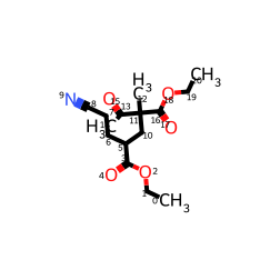 CCOC(=O)C(CCC#N)CC(C)(C(C)=O)C(=O)OCC